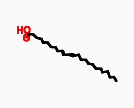 CCCCCCCCCCCCC#C/C=C/CCCCCCCCC(=O)O